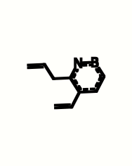 C=CCc1nbccc1C=C